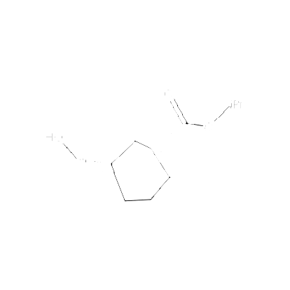 CC(C)OC(=O)[C@@H]1CCC[C@H](CO)C1